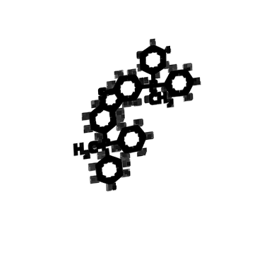 C=P(c1ccccc1)(c1ccccc1)c1ccc2sc3ccc(P(=C)(c4ccccc4)c4ccccc4)cc3c2c1